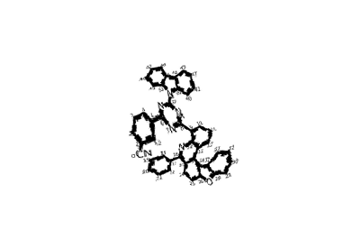 N#Cc1cccc(-c2nc(-c3cccc4c3nc(-c3ccccc3)c3ccc5oc6ccccc6c5c34)nc(-n3c4ccccc4c4ccccc43)n2)c1